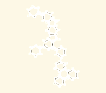 c1cc(-c2cnc3c4ccccc4c4ccccc4c3n2)cc(-c2cc(C3CCCCC3)cc3c2oc2cc4oc5ccc(C6CCCCC6)cc5c4cc23)c1